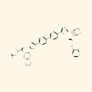 COC(=O)NC(C(=O)N1CC2(C[C@H]1c1ncc(-c3ccc(-c4ccc(-c5cnc([C@H]6C7CCC(C7)[C@@H]6C(=O)NCc6cccnc6)[nH]5)cc4)cc3)[nH]1)OCCO2)C(C)C